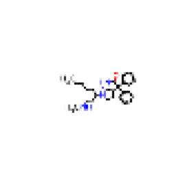 CCCCCC(CCNC)N1CCC(C(C(N)=O)(c2ccccc2)c2ccccc2)C1